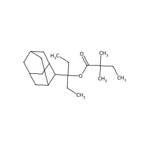 CCC(C)(C)C(=O)OC(CC)(CC)C1C2CC3CC(C2)CC1C3